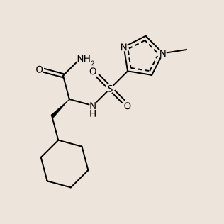 Cn1cnc(S(=O)(=O)N[C@@H](CC2CCCCC2)C(N)=O)c1